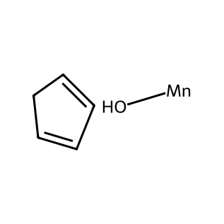 C1=CCC=C1.[OH][Mn]